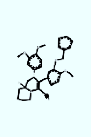 COc1ccc([C@H]2C[C@H]3CCCCN3C(C#N)=C2c2ccc(OC)c(OCc3ccccc3)c2)cc1OC